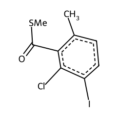 CSC(=O)c1c(C)ccc(I)c1Cl